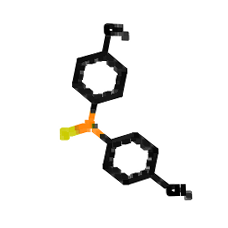 Cc1ccc([P](=S)c2ccc(C)cc2)cc1